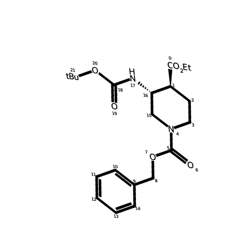 CCOC(=O)[C@H]1CCN(C(=O)OCc2ccccc2)C[C@@H]1NC(=O)OC(C)(C)C